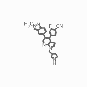 Cn1cc2cc(-c3cnc4c(ccn4CC4CCNC4)c3-c3ccc(C#N)c(F)c3)ccc2n1